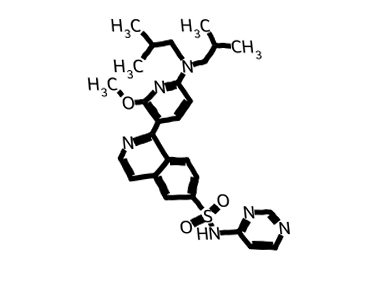 COc1nc(N(CC(C)C)CC(C)C)ccc1-c1nccc2cc(S(=O)(=O)Nc3ccncn3)ccc12